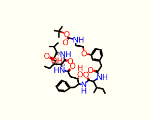 CCC(C)C(NC(=O)Cc1cccc(OCCNC(=O)OC(C)(C)C)c1)C(=O)NC(Cc1ccccc1)C(O)CC(=O)N[C@H](C(=O)N[C@H](C(=O)O)C(C)C)[C@@H](C)CC